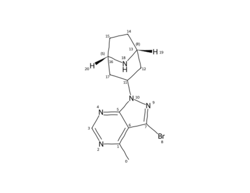 Cc1ncnc2c1c(Br)nn2C1C[C@H]2CC[C@@H](C1)N2